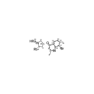 Cc1cc(O[C@@H]2C[CH]([Rb])[N]([RaH])C2)c2ccc(C)c(Br)c2n1